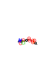 Cc1ccc(S(=O)(=O)OCCOC(=O)c2ccc(COc3cnn(C(C)(C)C)c(=O)c3Cl)cc2)cc1